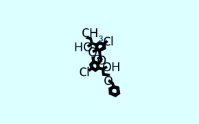 CCCC(O)c1cc(Cl)cc2c1OC1OC2Oc2c(C(O)CCOCc3ccccc3)cc(Cl)cc21